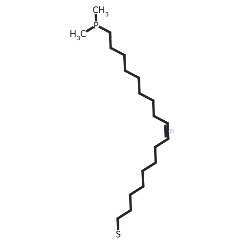 CP(C)CCCCCCCC/C=C\CCCCCCC[S]